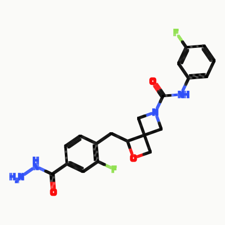 NNC(=O)c1ccc(CC2OCC23CN(C(=O)Nc2cccc(F)c2)C3)c(F)c1